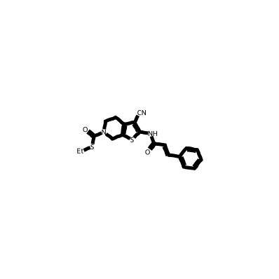 CCSC(=O)N1CCc2c(sc(NC(=O)C=Cc3ccccc3)c2C#N)C1